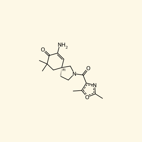 Cc1nc(C(=O)N2CC[C@]3(C=C(N)C(=O)C(C)(C)C3)C2)c(C)o1